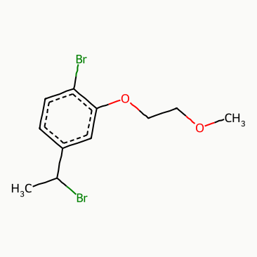 COCCOc1cc(C(C)Br)ccc1Br